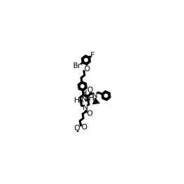 COC(=O)CCCC(=O)N1C[C@H]2CC(c3ccc(CCCOc4cc(F)ccc4Br)cc3)=C(C(=O)N(Cc3ccccc3)C3CC3)[C@@H](C1)N2